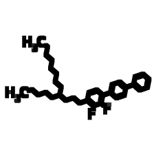 CCCCCCCCC(CCCCC)CCCc1ccc(-c2ccc(-c3ccccc3)cc2)c(F)c1F